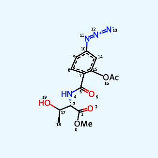 COC(=O)[C@@H](NC(=O)c1ccc(N=[N+]=[N-])cc1OC(C)=O)[C@@H](C)O